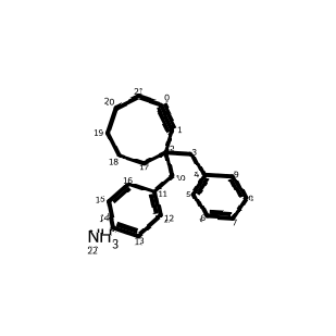 C1#CC(Cc2ccccc2)(Cc2ccccc2)CCCCC1.N